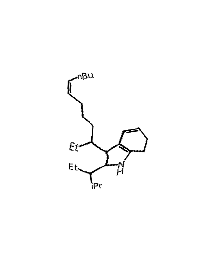 CCCC/C=C\CCCC(CC)C1C2=C(CCC=C2)NC1C(CC)C(C)C